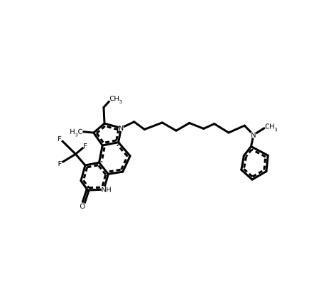 CCc1c(C)c2c3c(C(F)(F)F)cc(=O)[nH]c3ccc2n1CCCCCCCCCN(C)c1ccccc1